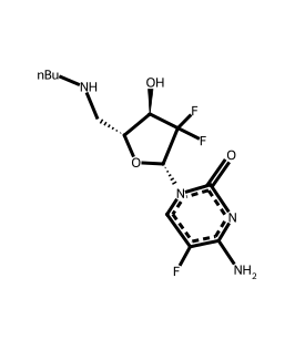 CCCCNC[C@H]1O[C@@H](n2cc(F)c(N)nc2=O)C(F)(F)[C@@H]1O